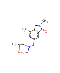 CC1CN(Cc2cc3c(c(C(F)(F)F)c2)CN(C)C3=O)CCO1